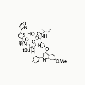 C=CC1C[C@]1(NC(=O)[C@@H]1C[C@@H](Oc2cc(-c3ccccc3)nc3cc(OC)ccc23)CN1C(=O)N[C@H](CNS(=O)(=O)c1ccc(-c2ccon2)s1)C(C)(C)C)C(=O)O